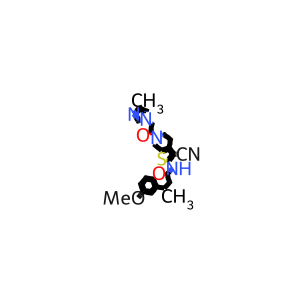 COc1cccc(C(C)CC(=O)Nc2sc3c(c2C#N)CCN(C(=O)Cn2cnc(C)c2)C3)c1